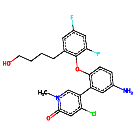 Cn1cc(-c2cc(N)ccc2Oc2c(F)cc(F)cc2CCCCO)c(Cl)cc1=O